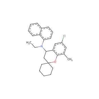 CCN(c1cccc2ccccc12)C1CC2(CCCCC2)Oc2c(C)cc(Cl)cc21